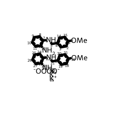 COc1ccc(CNc2ccccc2N)cc1.COc1ccc(CNc2ccccc2N)cc1.O=C([O-])[O-].[K+].[K+]